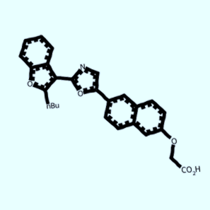 CCCCc1oc2ccccc2c1-c1ncc(-c2ccc3cc(OCC(=O)O)ccc3c2)o1